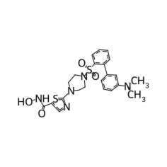 CN(C)c1cccc(-c2ccccc2S(=O)(=O)N2CCN(c3ncc(C(=O)NO)s3)CC2)c1